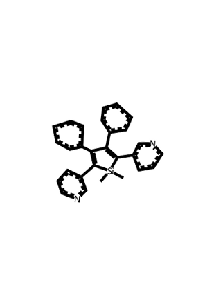 C[Si]1(C)C(c2cccnc2)=C(c2ccccc2)C(c2ccccc2)=C1c1cccnc1